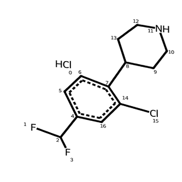 Cl.FC(F)c1ccc(C2CCNCC2)c(Cl)c1